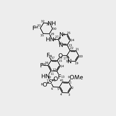 COc1cccc(CS(=O)(=O)Nc2c(F)cc(Oc3ncccc3-c3ccnc(N[C@@H]4CNC[C@@H](F)C4)n3)c(F)c2F)c1